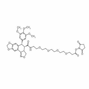 COc1cc([C@@H]2c3cc4c(cc3C3=NOCC3[C@@H]2C(=O)NCCOCCOCCOCCOCCC(=O)ON2C(=O)CCC2=O)OCO4)cc(OC)c1OC